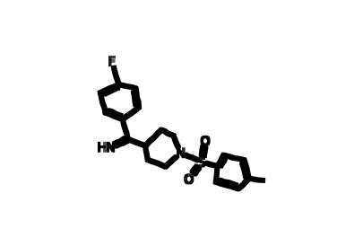 Cc1ccc(S(=O)(=O)N2CCC(C(=N)c3ccc(F)cc3)CC2)cc1